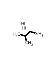 CC(C)C[SiH3].I.I